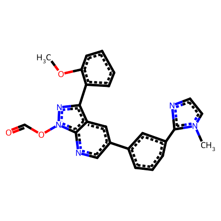 COc1ccccc1-c1nn(OC=O)c2ncc(-c3cccc(-c4nccn4C)c3)cc12